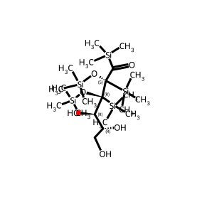 C[Si](C)(C)O[C@@](C(=O)[Si](C)(C)C)([C@@](O[Si](C)(C)C)([C@H](O)[C@H](O)CO)[Si](C)(C)C)[Si](C)(C)C